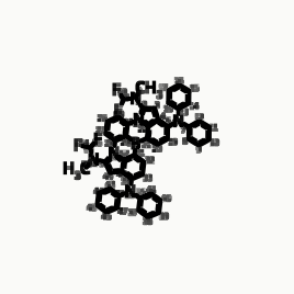 CN(c1cc2c(N(c3ccccc3)c3ccccc3)ccc3c2n1-c1cccc2c1B3c1ccc(N(c3ccccc3)c3ccccc3)c3cc(N(C)C(F)F)n-2c13)C(F)F